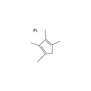 CC1=C(C)C(C)=C(C)C1.[Pt]